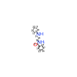 O=C(NCCCNC1CCCCC1)c1ccccc1